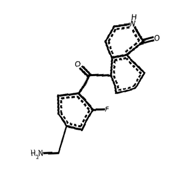 NCc1ccc(C(=O)c2cccc3c(=O)[nH]ccc23)c(F)c1